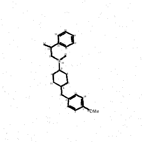 COc1ccc(CC2CCC(N(C)CC(C)c3ccccc3)CC2)cc1